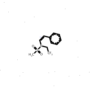 CS(=O)(=O)N(/C=C\c1ccccc1)CC(F)(F)F